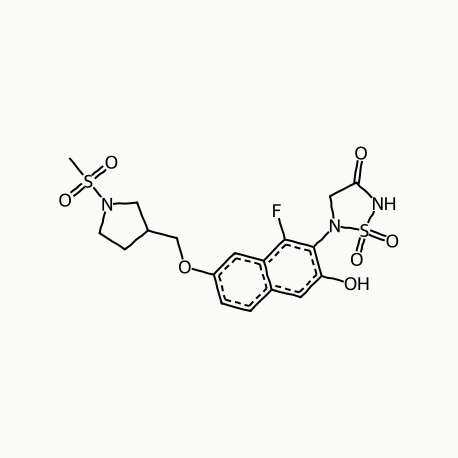 CS(=O)(=O)N1CCC(COc2ccc3cc(O)c(N4CC(=O)NS4(=O)=O)c(F)c3c2)C1